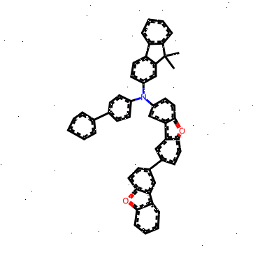 CC1(C)c2ccccc2-c2ccc(N(c3ccc(-c4ccccc4)cc3)c3ccc4oc5ccc(-c6ccc7oc8ccccc8c7c6)cc5c4c3)cc21